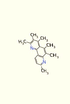 Cc1ccc2c(n1)c(C)c(C)c1c(C)c(C)c(C)nc12